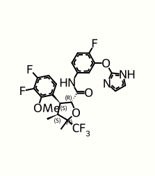 COc1c([C@H]2[C@H](C(=O)Nc3ccc(F)c(Oc4ncc[nH]4)c3)O[C@@](C)(C(F)(F)F)[C@H]2C)ccc(F)c1F